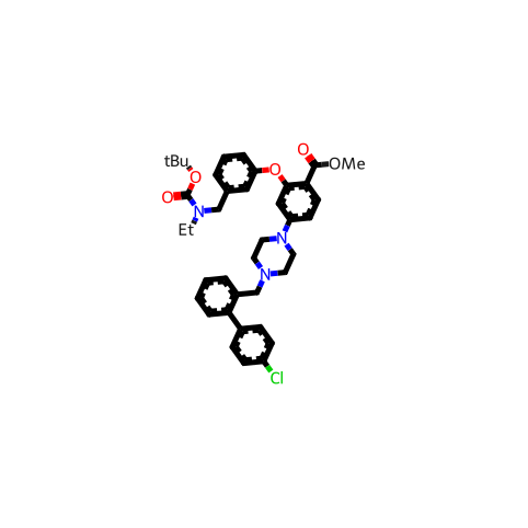 CCN(Cc1cccc(Oc2cc(N3CCN(Cc4ccccc4-c4ccc(Cl)cc4)CC3)ccc2C(=O)OC)c1)C(=O)OC(C)(C)C